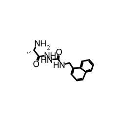 C[C@H](N)C(=O)NNC(=O)NCc1cccc2ccccc12